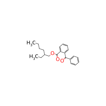 CCCCC(CC)COC(=O)c1ccccc1C(=O)c1ccccc1